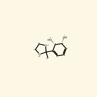 CC1(C2=CC=C[C@@H](O)[C@H]2O)OCCO1